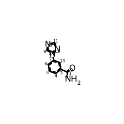 NC(=O)c1cccc(-n2cncn2)c1